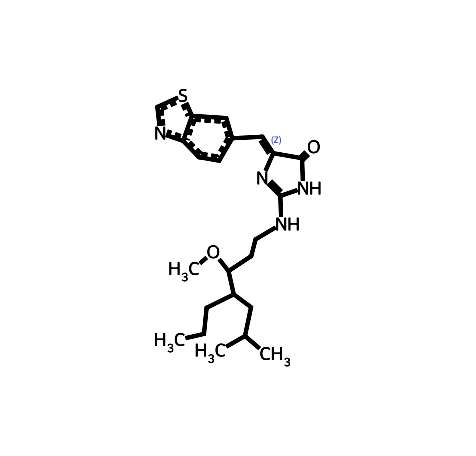 CCCC(CC(C)C)C(CCNC1=N/C(=C\c2ccc3ncsc3c2)C(=O)N1)OC